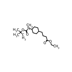 CCOC(=O)CCCC1CCC(N(C)C(=O)OC(C)(C)C)CC1